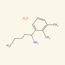 CCCCC(N)c1cccc(C)c1C.O